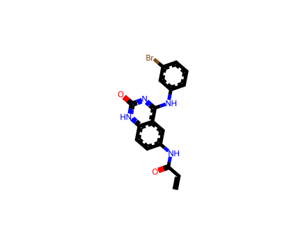 C=CC(=O)Nc1ccc2[nH]c(=O)nc(Nc3cccc(Br)c3)c2c1